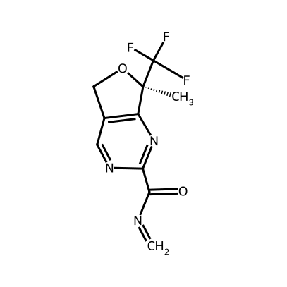 C=NC(=O)c1ncc2c(n1)[C@](C)(C(F)(F)F)OC2